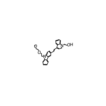 COCCOCCn1c2ccccc2c2cc(/C=C/c3cc[n+](CCO)c4ccccc34)ccc21